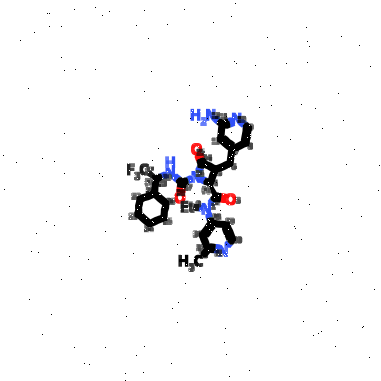 CCN(C(=O)[C@@H]1C(Cc2ccnc(N)c2)C(=O)N1C(=O)N[C@@H](C1CCCCC1)C(F)(F)F)c1ccnc(C)c1